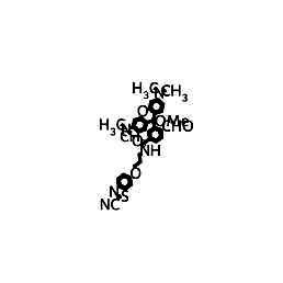 COC1(c2cc(C(=O)NCCCOc3ccc4nc(C#N)sc4c3)ccc2C=O)c2ccc(N(C)C)cc2Oc2cc(N(C)C)ccc21